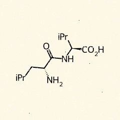 CC(C)C[C@@H](N)C(=O)N[C@H](C(=O)O)C(C)C